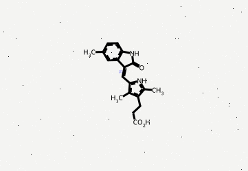 Cc1ccc2c(c1)/C(=C/c1[nH]c(C)c(CCC(=O)O)c1C)C(=O)N2